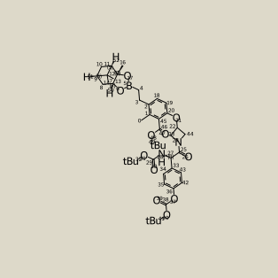 Cc1c(CCB2O[C@@H]3C[C@@H]4C[C@@H](C4(C)C)[C@]3(C)O2)ccc(OC2CN(C(=O)[C@H](NC(=O)OC(C)(C)C)c3ccc(OC(=O)OC(C)(C)C)cc3)C2)c1C(=O)OC(C)(C)C